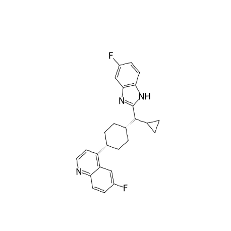 Fc1ccc2[nH]c(C(C3CC3)[C@H]3CC[C@@H](c4ccnc5ccc(F)cc54)CC3)nc2c1